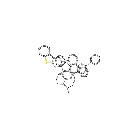 CCC1=C(\c2ccc(-c3ccccc3)cc2)CC/C(C)=C(\c2ccc3c(c2)c2ccccc2c2cccc(-c4ccc5sc6ccccc6c5c4)c23)CC/C=C\1c1ccccc1